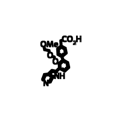 COCCOCOc1c(-c2ccc(CC(=O)O)cc2)cccc1-c1cc2ccncc2[nH]1